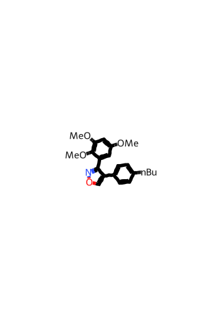 CCCCc1ccc(-c2conc2-c2cc(OC)cc(OC)c2OC)cc1